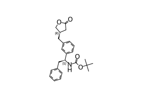 CC(C)(C)OC(=O)N[C@@H](Cc1ccccc1)c1cccc(C[C@H]2COC(=O)C2)c1